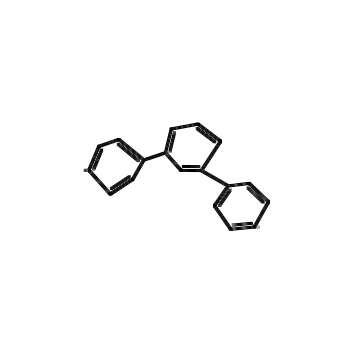 [c]1ccc(-c2cccc(-c3cc[c]cc3)c2)cc1